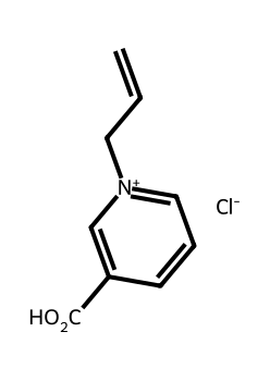 C=CC[n+]1cccc(C(=O)O)c1.[Cl-]